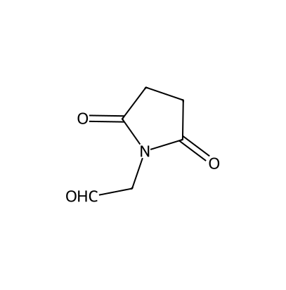 O=CCN1C(=O)CCC1=O